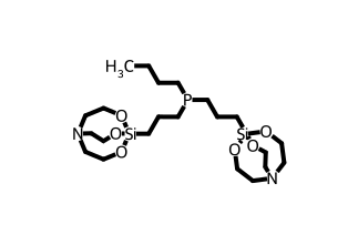 CCCCP(CCC[Si]12OCCN(CCO1)CCO2)CCC[Si]12OCCN(CCO1)CCO2